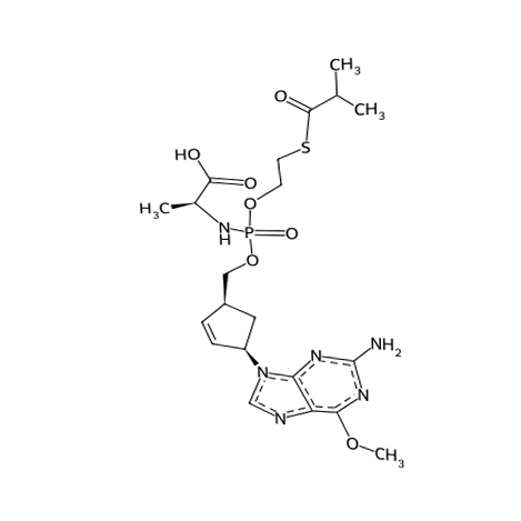 COc1nc(N)nc2c1ncn2[C@H]1C=C[C@@H](COP(=O)(N[C@@H](C)C(=O)O)OCCSC(=O)C(C)C)C1